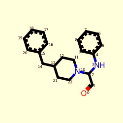 O=CC(Nc1ccccc1)N1CCC(Cc2ccccc2)CC1